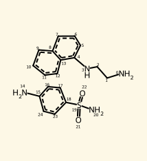 NCCNc1cccc2ccccc12.Nc1ccc(S(N)(=O)=O)cc1